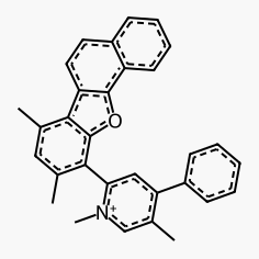 Cc1c[n+](C)c(-c2c(C)cc(C)c3c2oc2c4ccccc4ccc23)cc1-c1ccccc1